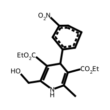 CCOC(=O)C1=C(C)NC(CO)=C(C(=O)OCC)C1c1cccc([N+](=O)[O-])c1